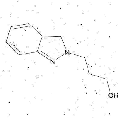 OCCCn1cc2ccccc2n1